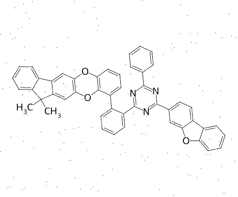 CC1(C)c2ccccc2-c2cc3c(cc21)Oc1c(cccc1-c1ccccc1-c1nc(-c2ccccc2)nc(-c2ccc4c(c2)oc2ccccc24)n1)O3